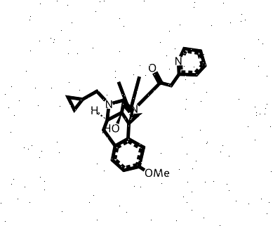 COc1ccc2c(c1)[C@]13CCN(CC4CC4)[C@H](C2)[C@]1(O)CC(C)(C)N(C(=O)Cc1ccccn1)CC3